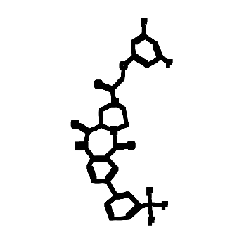 O=C1Nc2ccc(-c3cccc(C(F)(F)F)c3)cc2C(=O)N2CCN(C(=O)COc3cc(F)cc(F)c3)CC12